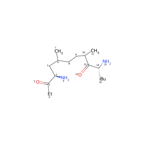 CCC(=O)[C@H](N)CC(C)CCC(C)C(=O)[C@H](N)C(C)CC